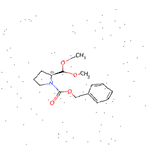 COC(OC)[C@@H]1CCCN1C(=O)OCc1ccccc1